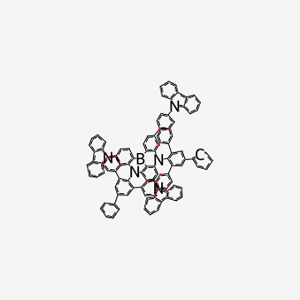 c1ccc(-c2cc(-c3ccccc3)c(N3c4cc(-c5ccc(-n6c7ccccc7c7ccccc76)cc5)ccc4B4c5ccc(-n6c7ccccc7c7ccccc76)cc5N(c5c(-c6ccccc6)cc(-c6ccccc6)cc5-c5ccccc5)c5cc(-n6c7ccccc7c7ccccc76)cc3c54)c(-c3ccccc3)c2)cc1